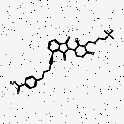 C[Si](C)(C)CCOCN1C(=O)CCC(N2C(=O)c3cccc(C#CCCCc4ccc(C(N)=O)cc4)c3C2=O)C1=O